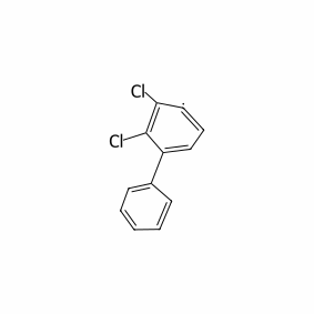 Clc1[c]ccc(-c2ccccc2)c1Cl